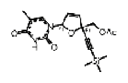 CC(=O)OC[C@]1(C#C[Si](C)(C)C)C=C[C@H](n2cc(C)c(=O)[nH]c2=O)O1